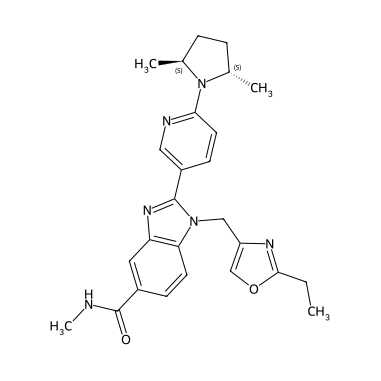 CCc1nc(Cn2c(-c3ccc(N4[C@@H](C)CC[C@@H]4C)nc3)nc3cc(C(=O)NC)ccc32)co1